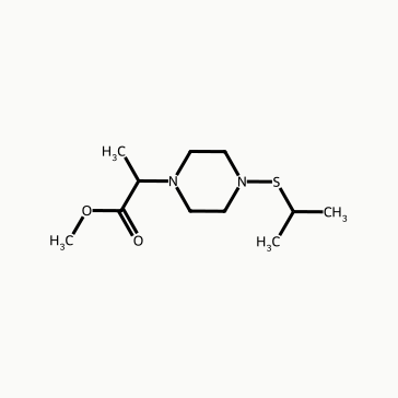 COC(=O)C(C)N1CCN(SC(C)C)CC1